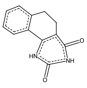 O=c1[nH]c2c(c(=O)[nH]1)CCc1ccccc1-2